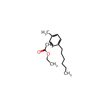 CCCCCCc1ccc(C)cc1.CCOC(C)=O